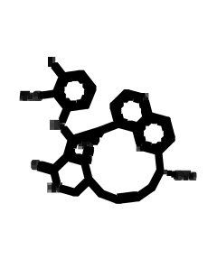 COc1c(F)cccc1Nc1c2[nH]c3c1C(=O)NCC3C/C=C\C[C@@H](OC)c1ccc3nccc-2c3n1